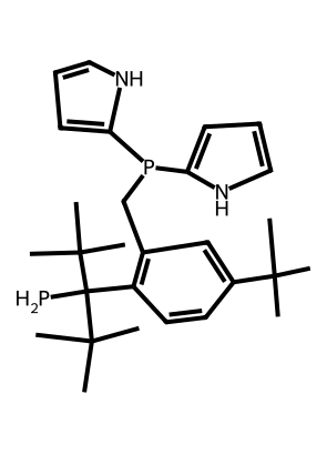 CC(C)(C)c1ccc(C(P)(C(C)(C)C)C(C)(C)C)c(CP(c2ccc[nH]2)c2ccc[nH]2)c1